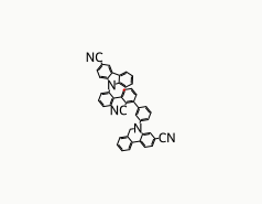 N#Cc1ccc2c(c1)N(c1cccc(-c3cccc(-c4ccccc4-n4c5ccccc5c5cc(C#N)ccc54)c3C#N)c1)Cc1ccccc1-2